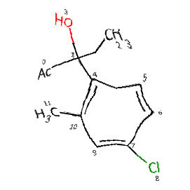 CC(=O)C(C)(O)c1ccc(Cl)cc1C